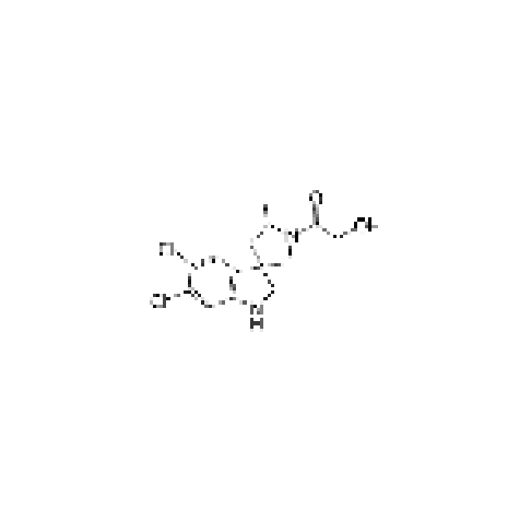 CC1CC2(CNc3cc(Cl)c(Cl)cc32)CN1C(=O)CO